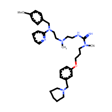 COc1ccc(CN(CCN(C)CCNC(=N)N(C#N)CCCOc2cccc(CN3CCCCC3)c2)c2ccccn2)cc1